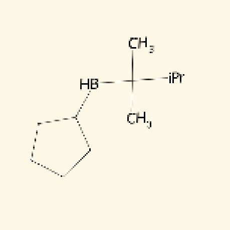 CC(C)C(C)(C)BC1CCCC1